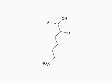 CCCC(O)C(CC)CCCCC(=O)O